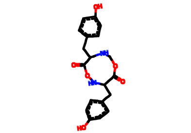 O=C1OCNC(Cc2ccc(O)cc2)C(=O)ONC1Cc1ccc(O)cc1